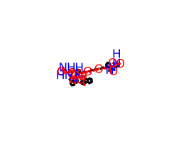 C[C@@H](OCc1ccc(CCCOCCCCCOCCCc2cccc3c2n(C)c(=O)n3C2CCC(=O)NC2=O)cc1)[C@H](CCC(N)=O)NC(=O)[C@@H]1Cc2cccc3c2N1C(=O)[C@@H](NC(=O)OCC1c2ccccc2-c2ccccc21)CC3